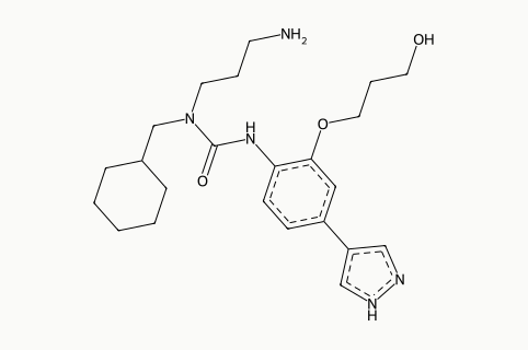 NCCCN(CC1CCCCC1)C(=O)Nc1ccc(-c2cn[nH]c2)cc1OCCCO